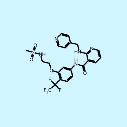 CS(=O)(=O)NCCOc1cc(NC(=O)c2cccnc2NCc2ccncc2)ccc1C(F)(F)C(F)(F)F